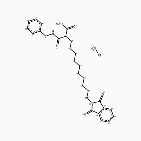 CCN.COC(=O)C(CCCCCCCCCNN1C(=O)c2ccccc2C1=O)C(=O)NCc1ccccc1